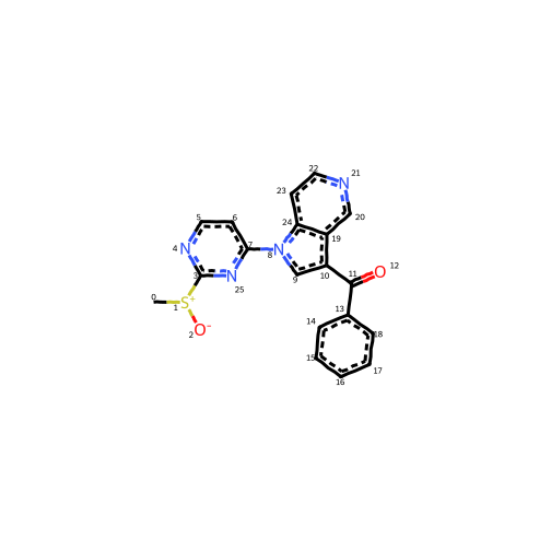 C[S+]([O-])c1nccc(-n2cc(C(=O)c3ccccc3)c3cnccc32)n1